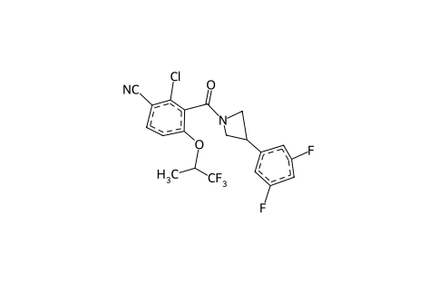 CC(Oc1ccc(C#N)c(Cl)c1C(=O)N1CC(c2cc(F)cc(F)c2)C1)C(F)(F)F